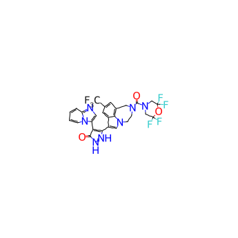 O=C(N1CCn2cc(-c3[nH][nH]c(=O)c3-c3cnc4ccccn34)c3cc(C(F)(F)F)cc(c32)C1)N1CC(F)(F)OC(F)(F)C1